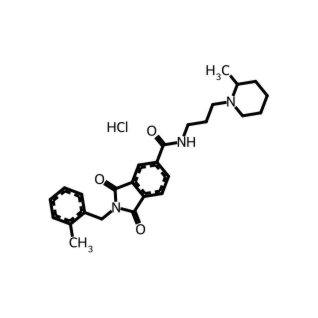 Cc1ccccc1CN1C(=O)c2ccc(C(=O)NCCCN3CCCCC3C)cc2C1=O.Cl